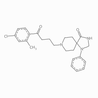 Cc1cc(Cl)ccc1C(=O)CCCN1CCC2(CC1)C(=O)NCN2c1ccccc1